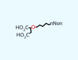 CCCCCCCCCCCCCCOC(CC(=O)O)C(=O)O